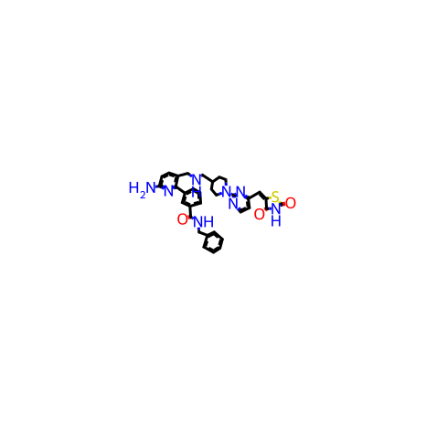 Nc1ccc(CNCC2CCN(c3nccc(C=C4SC(=O)NC4=O)n3)CC2)c(-c2cccc(C(=O)NCc3ccccc3)c2)n1